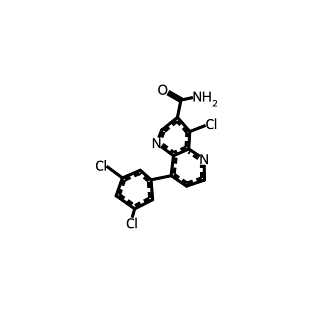 NC(=O)c1cnc2c(-c3cc(Cl)cc(Cl)c3)ccnc2c1Cl